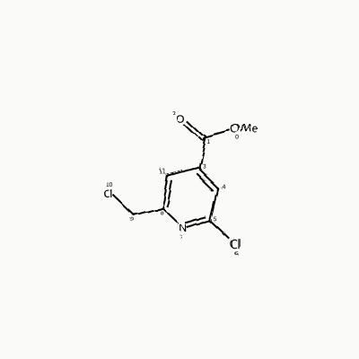 COC(=O)c1cc(Cl)nc(CCl)c1